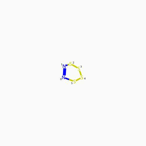 n1nssss1